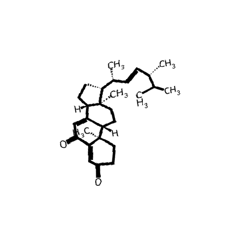 CC(C)[C@@H](C)C=C[C@@H](C)[C@H]1CC[C@H]2C3=CC(=O)C4=CC(=O)CC[C@]4(C)[C@H]3CC[C@]12C